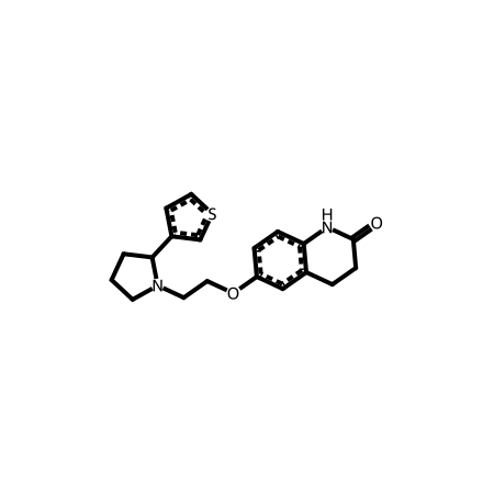 O=C1CCc2cc(OCCN3CCCC3c3ccsc3)ccc2N1